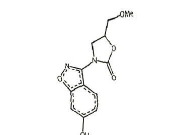 COCC1CN(c2noc3cc(O)ccc23)C(=O)O1